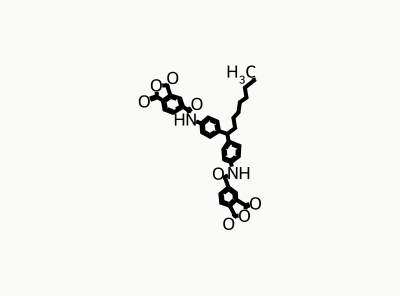 CCCCCCCCC(c1ccc(NC(=O)c2ccc3c(c2)C(=O)OC3=O)cc1)c1ccc(NC(=O)c2ccc3c(c2)C(=O)OC3=O)cc1